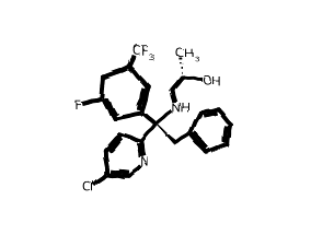 C[C@H](O)CN[C@@](Cc1ccccc1)(C1=CC(C(F)(F)F)CC(F)=C1)c1ccc(Cl)cn1